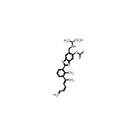 C=C/C=C\C=C(/C)c1cccc(-c2nc3cc(CN[C@@H](C)C(=O)O)c(OC(F)F)cc3o2)c1C